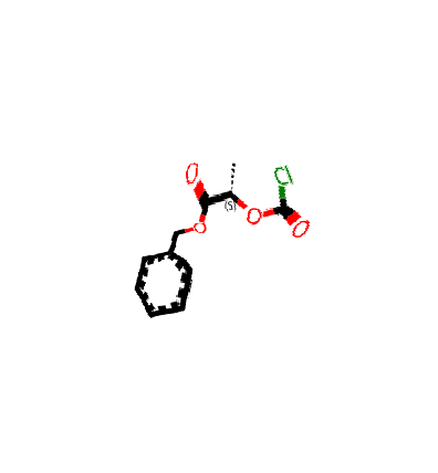 C[C@H](OC(=O)Cl)C(=O)OCc1ccccc1